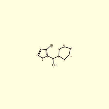 CCc1ccsc1C(O)C1CCCOC1